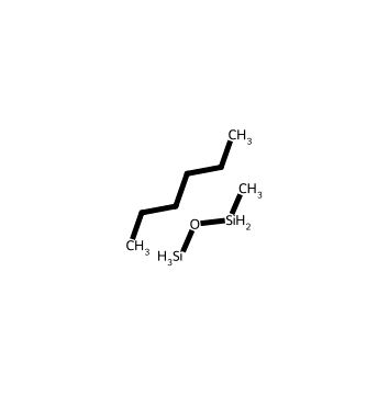 CCCCCC.C[SiH2]O[SiH3]